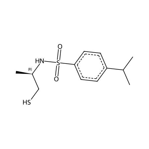 CC(C)c1ccc(S(=O)(=O)N[C@H](C)CS)cc1